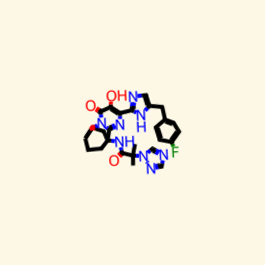 CC(C)(C(=O)NC12CCC(CC1)Cn1c2nc(-c2ncc(Cc3ccc(F)cc3)[nH]2)c(O)c1=O)n1cncn1